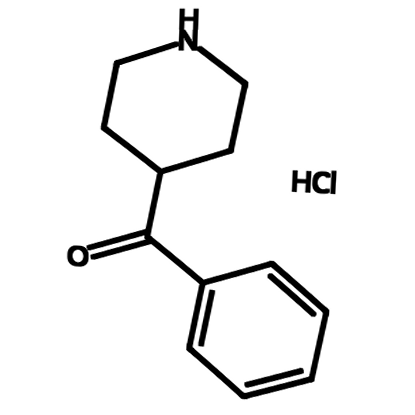 Cl.O=C(c1ccccc1)C1CCNCC1